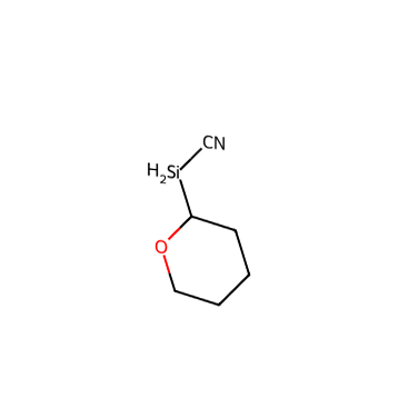 N#C[SiH2]C1CCCCO1